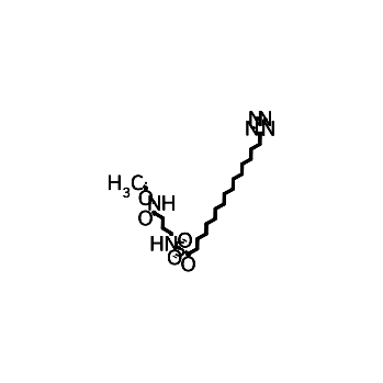 C[CH]ONC(=O)CCCNS(=O)(=O)C(=O)CCCCCCCCCCCCCCCC1N=NN=N1